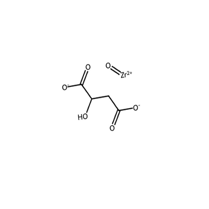 O=C([O-])CC(O)C(=O)[O-].[O]=[Zr+2]